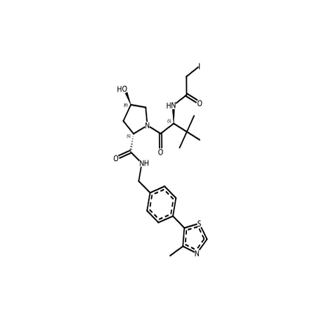 Cc1ncsc1-c1ccc(CNC(=O)[C@@H]2C[C@@H](O)CN2C(=O)[C@@H](NC(=O)CI)C(C)(C)C)cc1